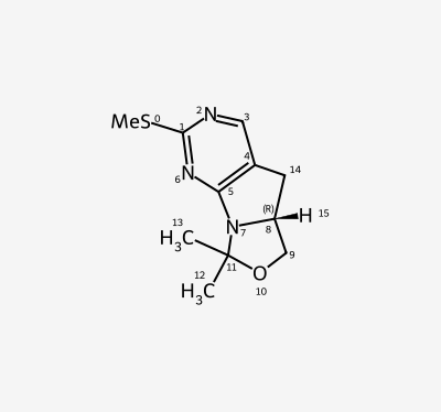 CSc1ncc2c(n1)N1[C@@H](COC1(C)C)C2